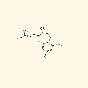 CC(C)=CCN1Cc2cc(Cl)cc(N)c2NC[C@@H]1C